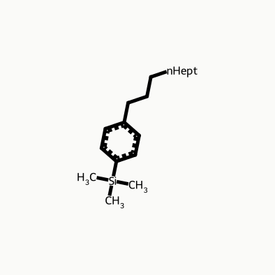 CCCCCCCCCCc1ccc([Si](C)(C)C)cc1